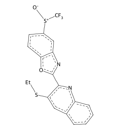 CCSc1cc2ccccc2nc1-c1nc2cc([S+]([O-])C(F)(F)F)ccc2o1